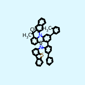 Cc1ccccc1-c1cc2c3c(c1)N1c4cc5ccccc5cc4C(C)(C)c4cccc(c41)B3N(c1cccc3c1sc1ccccc13)c1cc(-c3ccccc3)ccc1-2